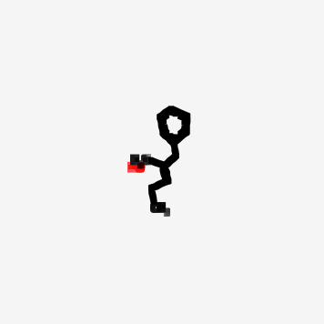 CCC=C(Cc1ccccc1)[SiH2]O